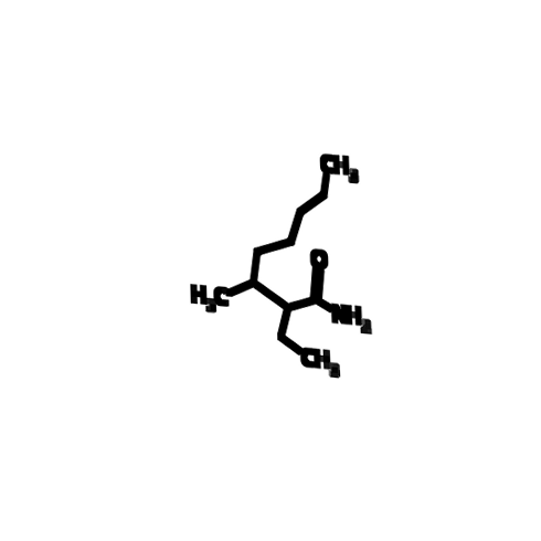 CCCCCC(C)C(CC)C(N)=O